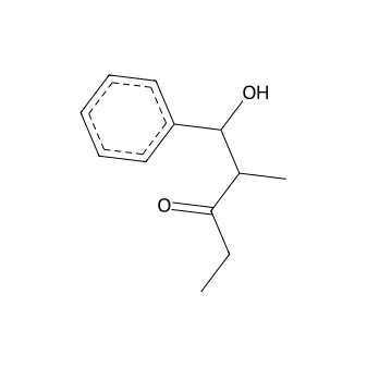 CCC(=O)C(C)C(O)c1ccccc1